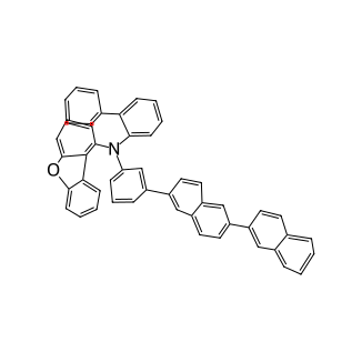 c1ccc(-c2ccccc2N(c2cccc(-c3ccc4cc(-c5ccc6ccccc6c5)ccc4c3)c2)c2cccc3oc4ccccc4c23)cc1